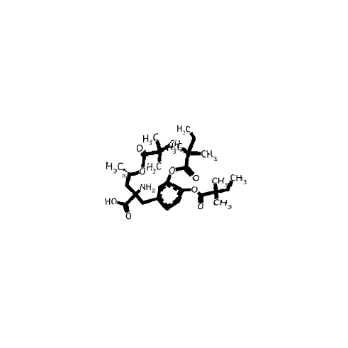 CCC(C)(C)C(=O)Oc1ccc(CC(N)(C[C@H](C)OC(=O)C(C)(C)C)C(=O)O)cc1OC(=O)C(C)(C)CC